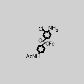 CC(=O)Nc1ccc(S(=O)(=O)c2ccc(N)c(Cl)c2)cc1.[Fe]